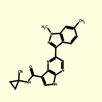 Cc1ccc2c(-c3cnc4[nH]cc(C(=O)NC5(C#N)CC5)c4n3)nn(C)c2c1